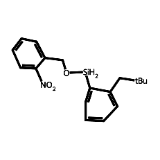 CC(C)(C)Cc1ccccc1[SiH2]OCc1ccccc1[N+](=O)[O-]